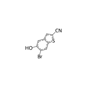 N#Cc1cc2cc(O)c(Br)cc2s1